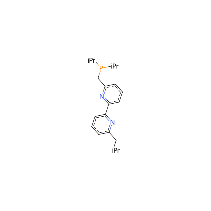 CC(C)Cc1cccc(-c2cccc(CP(C(C)C)C(C)C)n2)n1